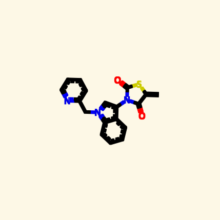 C=C1SC(=O)N(c2cn(Cc3ccccn3)c3ccccc23)C1=O